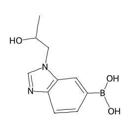 CC(O)Cn1cnc2ccc(B(O)O)cc21